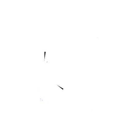 CCOc1ccc(Cc2cc([C@@H]3O[C@H](C)CC(C)[C@H]3N)ccc2Cl)cc1